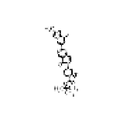 Cc1cn2cc(-c3ncc4c(=O)n(C5CCN(C(=O)OC(C)(C)C)C6(CC6)C5)ccc4n3)cc(F)c2n1